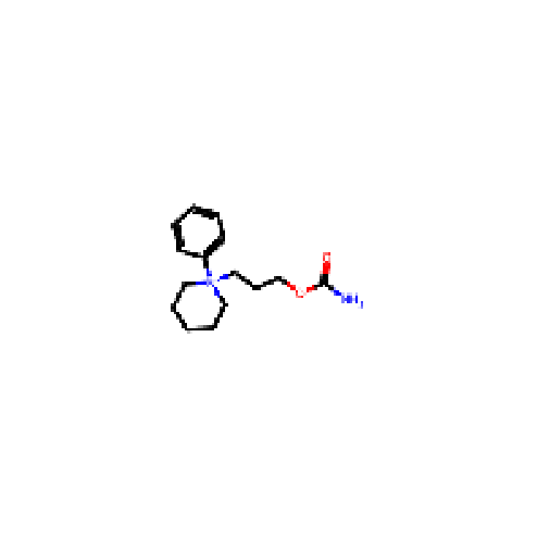 NC(=O)OCCC[N+]1(c2ccccc2)CCCCC1